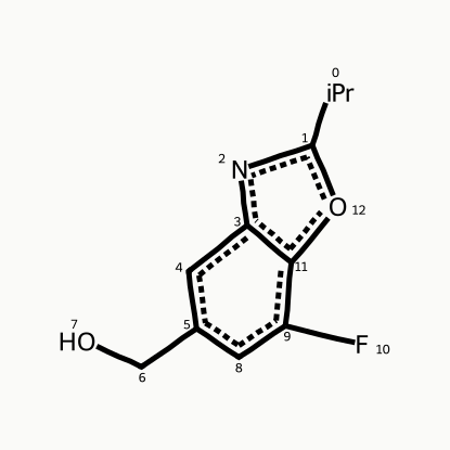 CC(C)c1nc2cc(CO)cc(F)c2o1